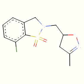 CC1=NOC(CN2Cc3cccc(Cl)c3S2(=O)=O)C1